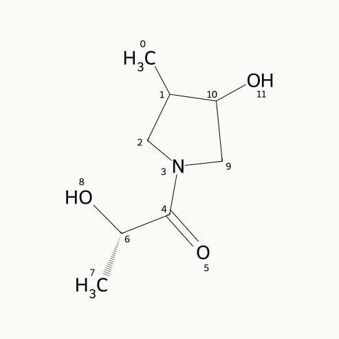 CC1CN(C(=O)[C@H](C)O)CC1O